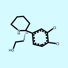 OCC[C@@]1(c2ccc(Cl)c(Cl)c2)CCCCN1